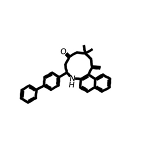 C=C1CC(C)(C)CC(=O)CC(c2ccc(-c3ccccc3)cc2)Nc2ccc3ccccc3c21